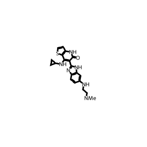 CNCCNc1ccc2nc(-c3c(NC4CC4)c4sccc4[nH]c3=O)[nH]c2c1